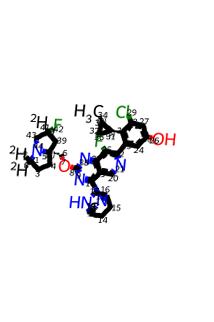 [2H]C1([2H])CC[C@]2(COc3nc(N4CC5CCC4CN5)c4cnc(-c5cc(O)cc(Cl)c5[C@H]5C[C@H]5C)c(F)c4n3)C[C@]([2H])(F)CN12